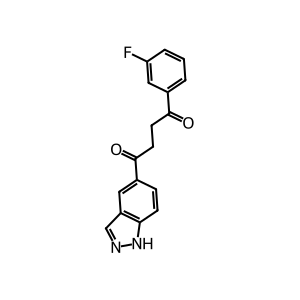 O=C(CCC(=O)c1ccc2[nH]ncc2c1)c1cccc(F)c1